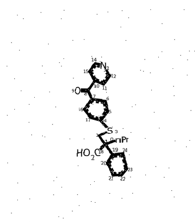 CCCC(CSc1ccc(C(=O)c2ccncc2)cc1)(C(=O)O)c1ccccc1